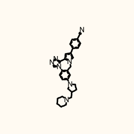 N#Cc1ccc(-c2cc3n(c2)Cc2cc(N4CCC(CN5CCCCC5)C4)ccc2-n2cnnc2-3)cc1